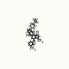 FC(F)(F)c1cccc(Nc2cc(Nc3cnn(C4CCN(C5COC5)CC4)c3Cl)nc3[nH]cc(C(F)(F)F)c23)c1